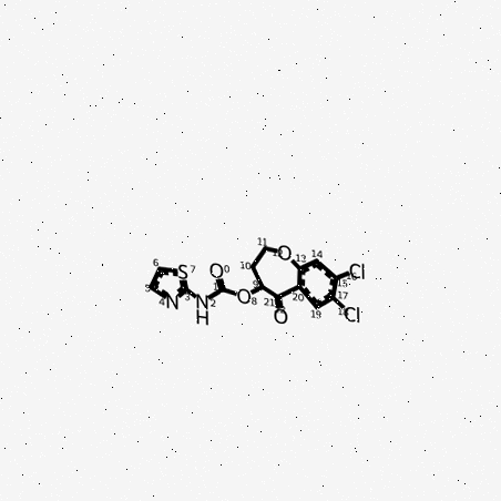 O=C(Nc1nccs1)OC1CCOc2cc(Cl)c(Cl)cc2C1=O